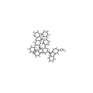 Cc1ccc2c(c1)c1ccccc1n2-c1ccc2c(c1)c1ccccc1n2-c1cc([Si](c2ccccc2)(c2ccccc2)c2ccccc2)ccc1-c1ccccc1